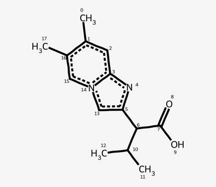 Cc1cc2nc(C(C(=O)O)C(C)C)cn2cc1C